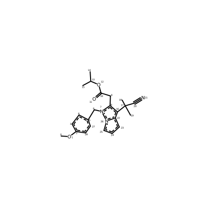 COc1ccc(Cn2c(CC(=O)OC(C)C)c(C(C)(C)C#N)c3cccn32)cc1